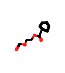 O=COCCOC(=O)c1ccccc1